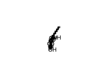 CCCCCCCCCCC(Oc1ccc(S(=O)(=O)c2ccc(O)cc2)cc1)C([NH])=O